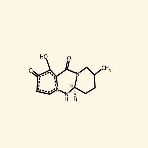 CC1CC[C@H]2Nn3ccc(=O)c(O)c3C(=O)N2C1